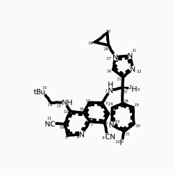 [2H][C@](Nc1cc(C#N)c2ncc(C#N)c(NCC(C)(C)C)c2c1)(c1ccc(F)nc1)c1cn(C2CC2)nn1